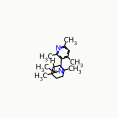 Cc1cc(C)c(N2[C@@H](C)C3(C)CCC2(C)CC3)c(C)n1